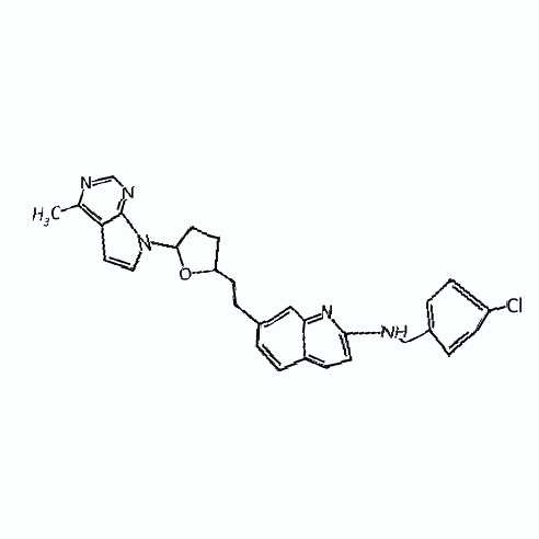 Cc1ncnc2c1ccn2C1CCC(CCc2ccc3ccc(NCc4ccc(Cl)cc4)nc3c2)O1